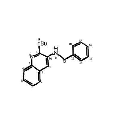 CCCCc1nc2ccccc2cc1NCc1ccccc1